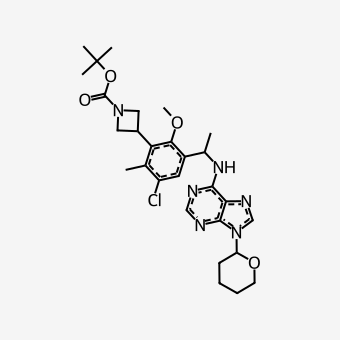 COc1c(C(C)Nc2ncnc3c2ncn3C2CCCCO2)cc(Cl)c(C)c1C1CN(C(=O)OC(C)(C)C)C1